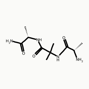 C[C@H](N)C(=O)NC(C)(C)C(=O)N[C@@H](C)C(N)=O